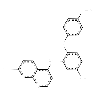 CCCc1ccc2c([AsH]c3cc(C(F)(F)F)ccc3Sc3ccc(NC(C)=O)cc3)ccnc2n1